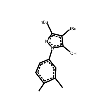 CCCCc1nn(-c2ccc(C)c(C)c2)c(O)c1C(C)(C)C